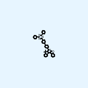 CC1(C)c2ccccc2-c2c1c(-c1ccc(-c3ccc(-c4nc(-c5ccccc5)nc(-c5ccccc5)n4)cc3)cc1)nc1oc3ccccc3c21